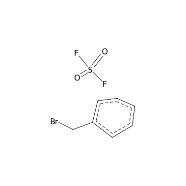 BrCc1ccccc1.O=S(=O)(F)F